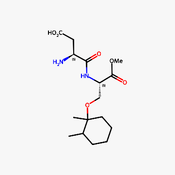 COC(=O)[C@H](COC1(C)CCCCC1C)NC(=O)[C@@H](N)CC(=O)O